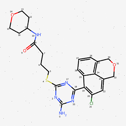 Nc1nc(SCCCC(=O)NC2CCOCC2)nc(-c2c(Cl)cc3c4c(cccc24)COC3)n1